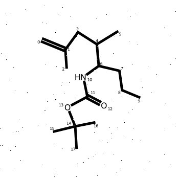 C=C(C)CC(C)C(CCC)NC(=O)OC(C)(C)C